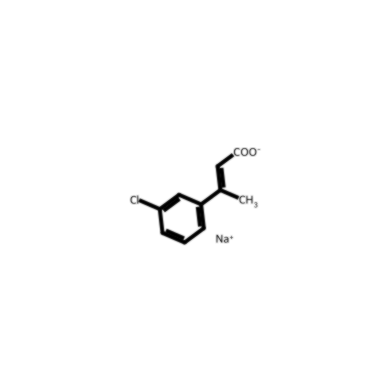 CC(=CC(=O)[O-])c1cccc(Cl)c1.[Na+]